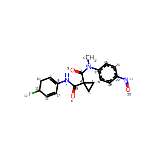 CN(C(=O)C1(C(=O)NC2=CCC(F)C=C2)CC1)c1ccc(N=O)cc1